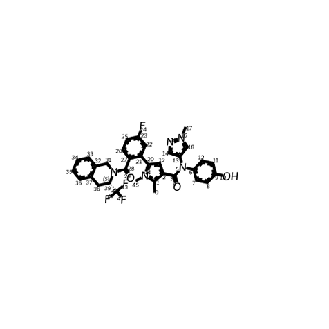 Cc1c(C(=O)N(c2ccc(O)cc2)c2cnn(C)c2)cc(-c2cc(F)ccc2C(=O)N2Cc3ccccc3C[C@H]2C(F)(F)F)n1C